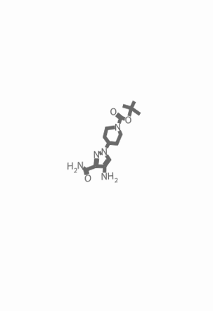 CC(C)(C)OC(=O)N1CCC(n2cc(N)c(C(N)=O)n2)CC1